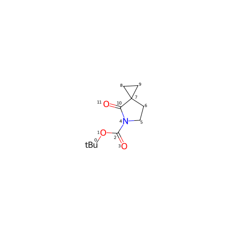 CC(C)(C)OC(=O)N1CCC2(CC2)C1=O